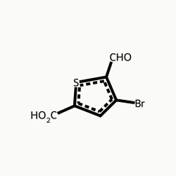 O=Cc1sc(C(=O)O)cc1Br